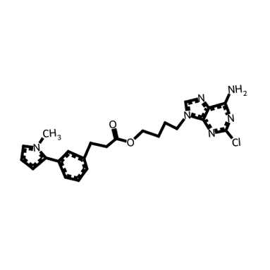 Cn1cccc1-c1cccc(CCC(=O)OCCCCn2cnc3c(N)nc(Cl)nc32)c1